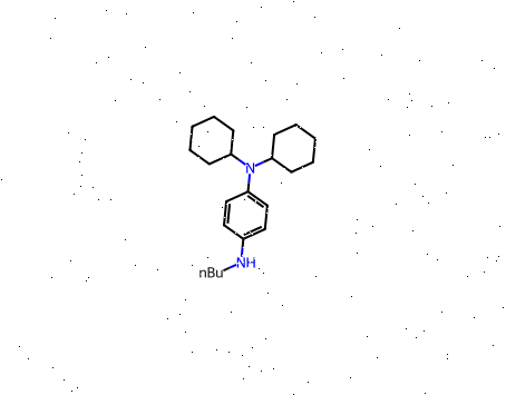 CCCCNc1ccc(N(C2CCCCC2)C2CCCCC2)cc1